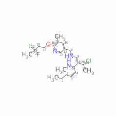 CCC/C=C\C(NC)/C(=C\NCc1cnc(OCCC(C)(F)F)c(C)c1)C(C)Cl